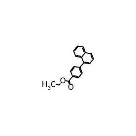 CCOC(=O)c1ccc(-c2cccc3ccccc23)cc1